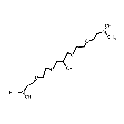 CN(C)CCOCCOCC(O)COCCOCCN(C)C